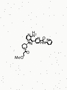 COCCC(=O)N1CCC[C@@H](c2nc(-c3ccc(C(=O)Nc4ccccn4)nc3)c3c(N)nccn23)C1